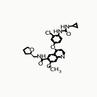 COc1cc2nccc(Oc3ccc(NC(=O)NC4CC4)c(Cl)c3)c2cc1C(=O)NC[C@H]1CCCO1